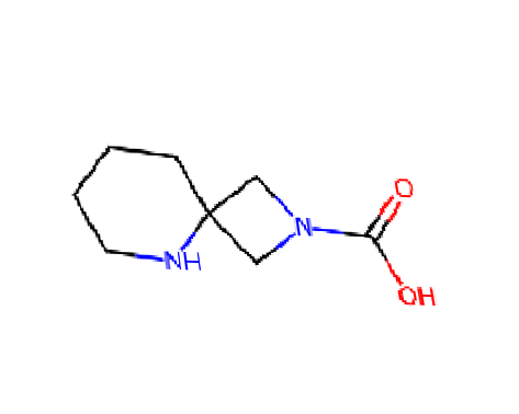 O=C(O)N1CC2(CCCCN2)C1